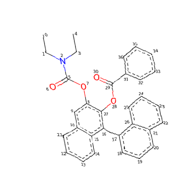 CCN(CC)C(=O)Oc1cc2ccccc2c(-c2cccc3ccccc23)c1OC(=O)c1ccccc1